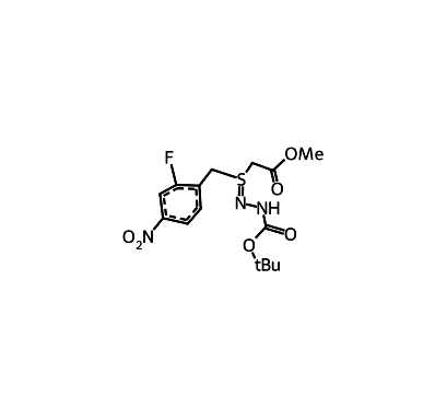 COC(=O)CS(Cc1ccc([N+](=O)[O-])cc1F)=NNC(=O)OC(C)(C)C